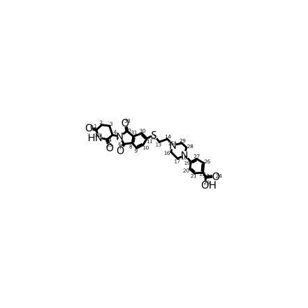 O=C1CCC(N2C(=O)c3ccc(SCCN4CCN(c5ccc(C(=O)O)cc5)CC4)cc3C2=O)C(=O)N1